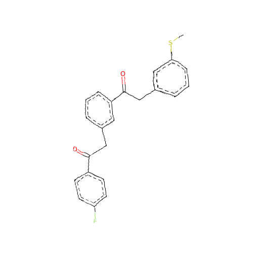 CSc1cccc(CC(=O)c2cccc(CC(=O)c3ccc(F)cc3)c2)c1